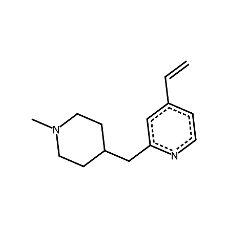 C=Cc1ccnc(CC2CCN(C)CC2)c1